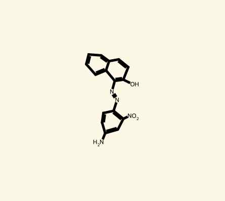 Nc1ccc(N=Nc2c(O)ccc3ccccc23)c([N+](=O)[O-])c1